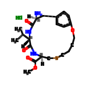 COC(=O)[C@@H]1CSCCCCOc2ccc(cc2)C[C@H](N)C(=O)N[C@@H](C(C)C)C(=O)N1.Cl